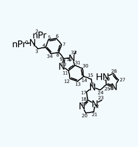 CCCN(CCC)Cc1cccc(-c2nc3ccc(CN(CC4=NCCN4C)Cc4ncc[nH]4)cc3n2C)c1